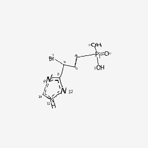 O=P(O)(O)CCC(Br)c1nc[nH]n1